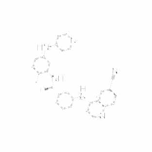 Cc1ccc(Nc2ccncc2)cc1NC(=O)c1cccc(Nc2ccnc3ccc(C#N)cc23)c1